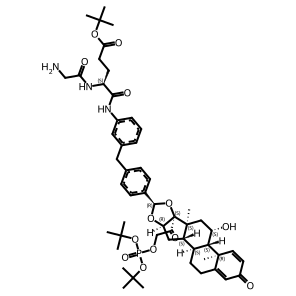 CC(C)(C)OC(=O)CC[C@H](NC(=O)CN)C(=O)Nc1cccc(Cc2ccc([C@@H]3O[C@@H]4C[C@H]5[C@@H]6CCC7=CC(=O)C=C[C@]7(C)[C@H]6[C@@H](O)C[C@]5(C)[C@]4(C(=O)COP(=O)(OC(C)(C)C)OC(C)(C)C)O3)cc2)c1